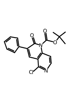 CC(C)(C)OC(=O)n1c(=O)c(-c2ccccc2)cc2c(Cl)nccc21